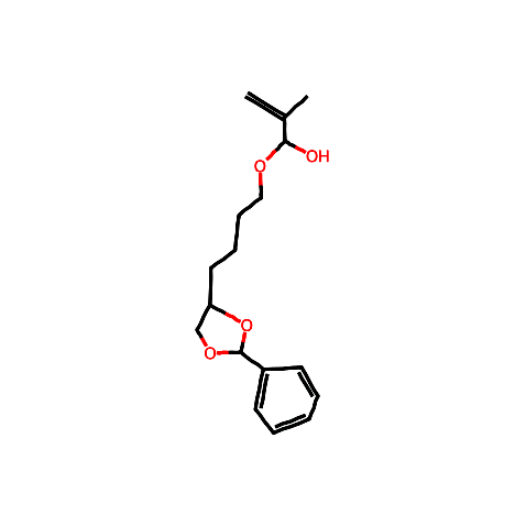 C=C(C)C(O)OCCCCC1COC(c2ccccc2)O1